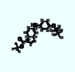 CC(C)(C)OC(=O)n1ccc2cc(Nc3ccc(O[Si](C)(C)C(C)(C)C)cc3)ccc21